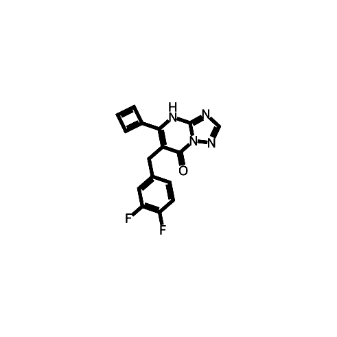 O=c1c(Cc2ccc(F)c(F)c2)c(C2=CC=C2)[nH]c2ncnn12